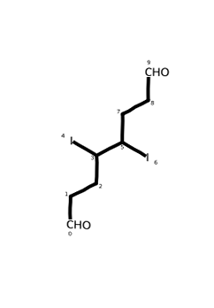 O=CCCC(I)C(I)CCC=O